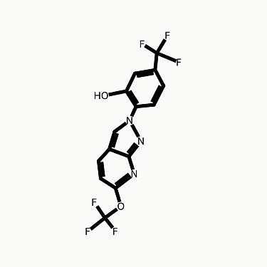 Oc1cc(C(F)(F)F)ccc1-n1cc2ccc(OC(F)(F)F)nc2n1